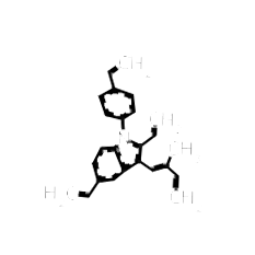 C=C/C(C)=C/c1c(C=C)n(-c2ccc(C=C)cc2)c2ccc(C=C)cc12